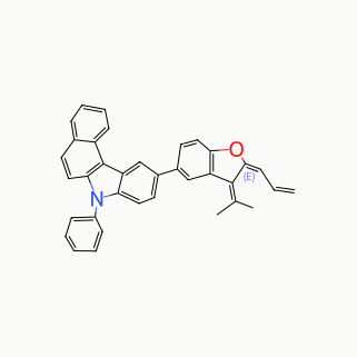 C=C/C=c1/oc2ccc(-c3ccc4c(c3)c3c5ccccc5ccc3n4-c3ccccc3)cc2c1=C(C)C